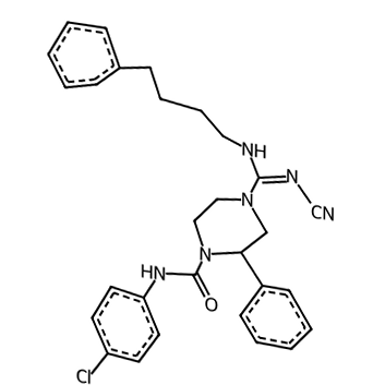 N#C/N=C(/NCCCCc1ccccc1)N1CCN(C(=O)Nc2ccc(Cl)cc2)C(c2ccccc2)C1